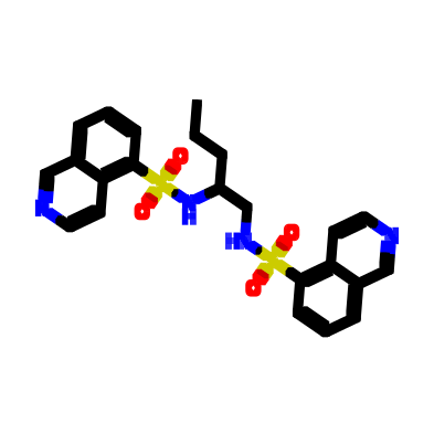 CCCC(CNS(=O)(=O)c1cccc2cnccc12)NS(=O)(=O)c1cccc2cnccc12